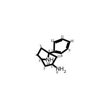 NC1CC2CCC(c3ccccc3)(C1)N2